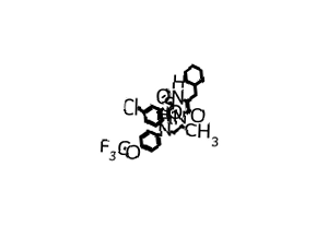 CC(CNc1ccc(OC(F)(F)F)cc1)NC(=O)C(CC1CCCCC1)NS(=O)(=O)c1cccc(Cl)c1